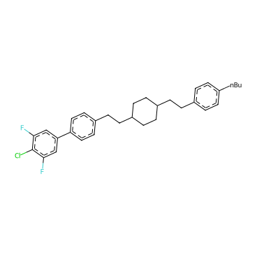 CCCCc1ccc(CCC2CCC(CCc3ccc(-c4cc(F)c(Cl)c(F)c4)cc3)CC2)cc1